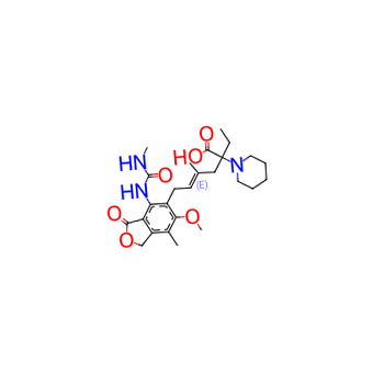 CCC(C/C(C)=C/Cc1c(NC(=O)NC)c2c(c(C)c1OC)COC2=O)(C(=O)O)N1CCCCC1